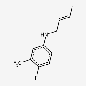 CC=CCNc1ccc(F)c(C(F)(F)F)c1